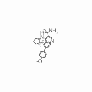 COc1ccc(-c2cc3c(N[C@@H]4CCC[C@]4(C)F)c(C(N)=O)cnn3c2)cc1